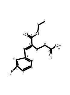 CCOC(=O)/C(=C/c1cccc(F)c1)CCC(=O)O